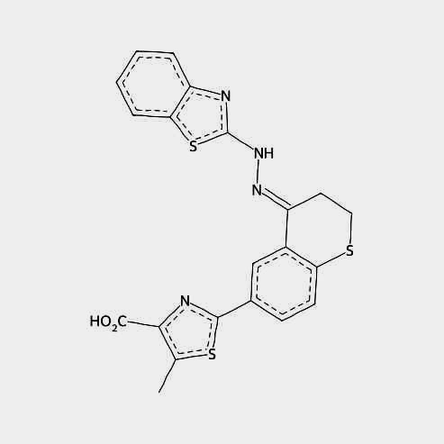 Cc1sc(-c2ccc3c(c2)/C(=N/Nc2nc4ccccc4s2)CCS3)nc1C(=O)O